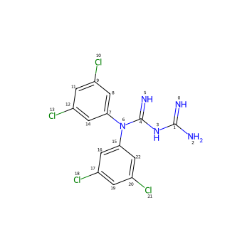 N=C(N)NC(=N)N(c1cc(Cl)cc(Cl)c1)c1cc(Cl)cc(Cl)c1